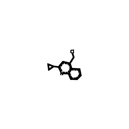 ClCc1cc(C2CC2)nc2ccccc12